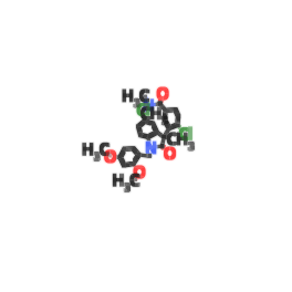 COc1ccc(CN2C(=O)C(C)(c3cc(C(=O)N(C)C)ccc3Cl)c3cc(Cl)ccc32)c(OC)c1